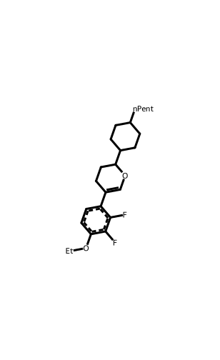 CCCCCC1CCC(C2CCC(c3ccc(OCC)c(F)c3F)=CO2)CC1